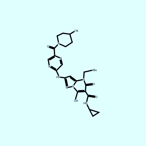 CC(C)(C)Cn1c(=O)c(C(=O)NC2CC2)c(O)n2nc(Nc3cnc(C(=O)N4CCC(C#N)CC4)cn3)cc12